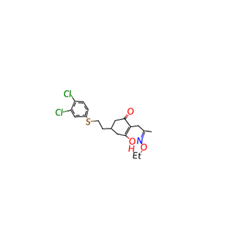 CCON=C(C)CC1=C(O)CC(CCSc2ccc(Cl)c(Cl)c2)CC1=O